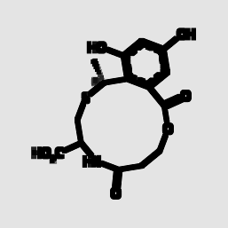 C[C@H]1SCC(C(=O)O)NC(=O)CCOC(=O)c2cc(O)cc(O)c21